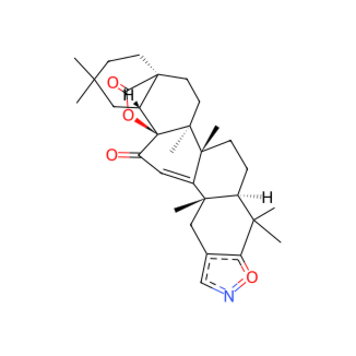 CC1(C)CC[C@@]23CC[C@@]4(C)[C@]5(C)CC[C@H]6C(C)(C)c7oncc7C[C@]6(C)C5=CC(=O)[C@]4(OC2=O)[C@@H]3C1